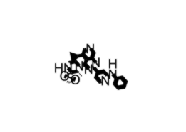 C[C@@H]1C(S(C)(=O)=O)NCCN1c1nc(-c2ccnc(Nc3ccccc3)c2)nc2cncc(C3CC3)c12